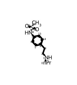 CCCNCCc1ccc(NS(C)(=O)=O)cc1